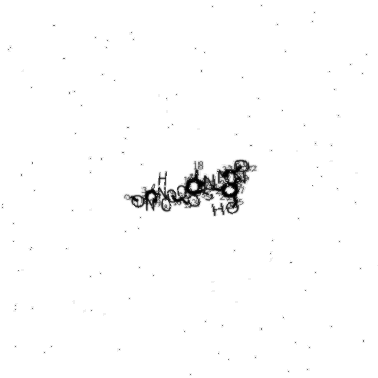 COc1ccc(NC(=O)OCC2COc3c(cc(C)c4nc(-c5cc(CO)cc6nc(OC)cnc56)sc34)O2)cn1